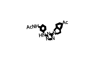 CC(=O)Nc1cccc(Nc2ncnc(N3CCc4cc(C(C)=O)ccc4C3)n2)c1